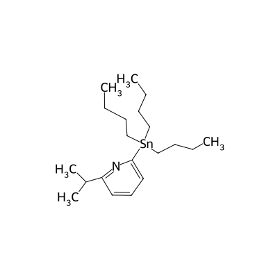 CCC[CH2][Sn]([CH2]CCC)([CH2]CCC)[c]1cccc(C(C)C)n1